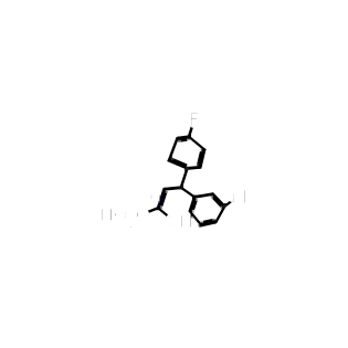 C/C(=C\C(c1ccc(F)cc1)c1cccc(Cl)c1)C(=O)O